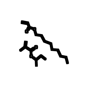 C=C(C)C(=O)OC(C)CC.C=CC(=O)OCCCCCCCCC